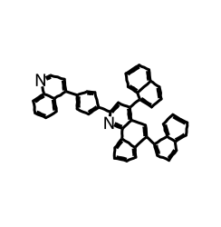 c1ccc2c(-c3cc4c(-c5cccc6ccccc56)cc(-c5ccc(-c6ccnc7ccccc67)cc5)nc4c4ccccc34)cccc2c1